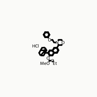 CCOC(OC)Oc1cc2ccc(C3COCCN3CCOc3ccccc3)cc2cc1C12CC3CC(CC(C3)C1)C2.Cl